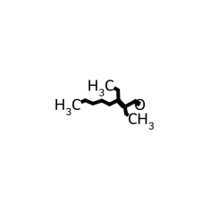 CCCCC/C(CC)=C(/C=O)CC